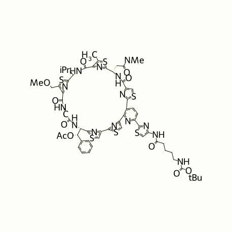 CNC(=O)C[C@@H]1NC(=O)c2csc(n2)-c2ccc(-c3nc(NC(=O)CCCCNC(=O)OC(C)(C)C)cs3)nc2-c2csc(n2)-c2csc(n2)[C@H]([C@@H](OC(C)=O)c2ccccc2)NC(=O)CNC(=O)c2nc(sc2COC)[C@@H](C(C)C)NC(=O)c2nc1sc2C